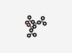 c1ccc(N(c2ccccc2)c2ccc(-n3c4ccc(N(c5ccccc5)c5ccccc5)cc4c4c3ccc3c5cc(N(c6ccccc6)c6ccccc6)ccc5n(-c5ccccc5)c34)cc2)cc1